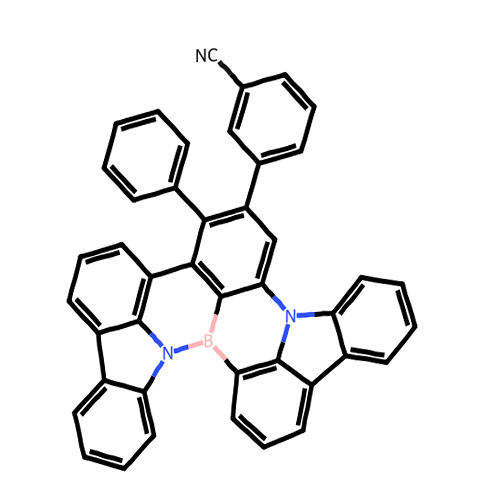 N#Cc1cccc(-c2cc3c4c(c2-c2ccccc2)-c2cccc5c6ccccc6n(c25)B4c2cccc4c5ccccc5n-3c24)c1